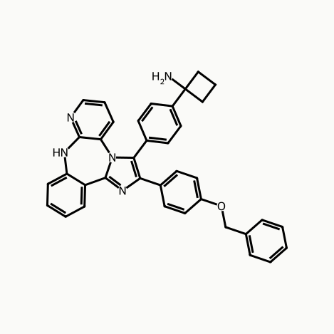 NC1(c2ccc(-c3c(-c4ccc(OCc5ccccc5)cc4)nc4n3-c3cccnc3Nc3ccccc3-4)cc2)CCC1